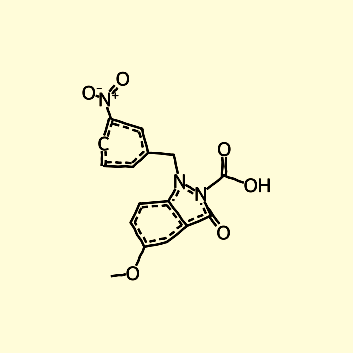 COc1ccc2c(c1)c(=O)n(C(=O)O)n2Cc1cccc([N+](=O)[O-])c1